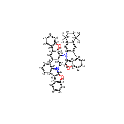 Cc1cc2c(cc1N1c3c(oc4ccccc34)B3c4c(cc5c(oc6ccccc65)c41)-c1cccc4c5c6ccccc6oc5n3c14)C(C)(C)CCC2(C)C